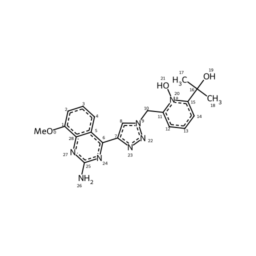 COc1cccc2c(-c3cn(Cc4cccc(C(C)(C)O)[n+]4O)nn3)nc(N)nc12